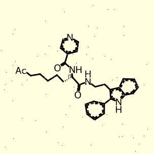 CC(=O)CCCCC[C@H](NC(=O)c1ccncc1)C(=O)NCCc1c(-c2ccccc2)[nH]c2ccccc12